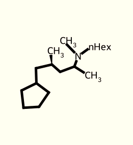 CCCCCCN(C)C(C)C[C@H](C)CC1CCCC1